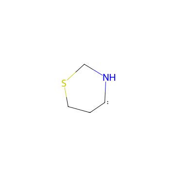 [C]1CCSCN1